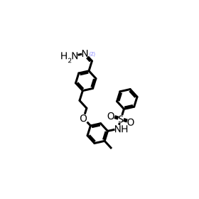 Cc1ccc(OCCc2ccc(/C=N\N)cc2)cc1NS(=O)(=O)c1ccccc1